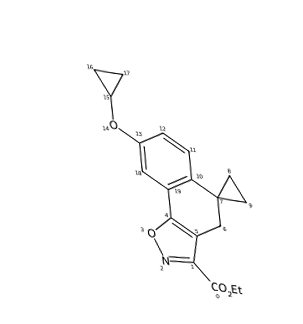 CCOC(=O)c1noc2c1CC1(CC1)c1ccc(OC3CC3)cc1-2